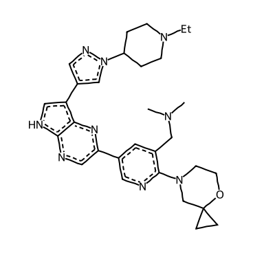 CCN1CCC(n2cc(-c3c[nH]c4ncc(-c5cnc(N6CCOC7(CC7)C6)c(CN(C)C)c5)nc34)cn2)CC1